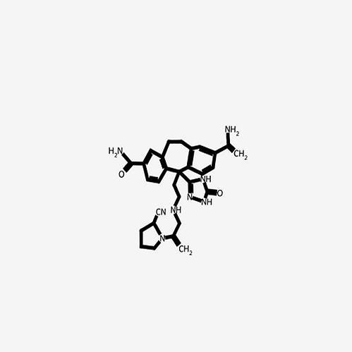 C=C(N)c1ccc2c(c1)CCc1cc(C(N)=O)ccc1C2(CCNCC(=C)N1CCCC1C#N)c1n[nH]c(=O)[nH]1